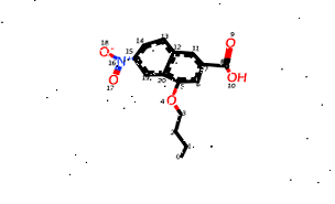 CCCCOc1cc(C(=O)O)cc2ccc([N+](=O)[O-])cc12